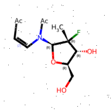 CC(=O)/C=C\N(C(C)=O)[C@@H]1O[C@H](CO)[C@@H](O)[C@@]1(C)F